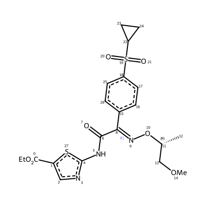 CCOC(=O)c1cnc(NC(=O)/C(=N/O[C@H](C)COC)c2ccc(S(=O)(=O)C3CC3)cc2)s1